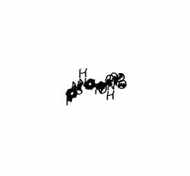 COC[C@H](NC(=O)c1cc(-c2ccc(Nc3nc4ccc(F)cc4s3)cc2)no1)C(=O)OC